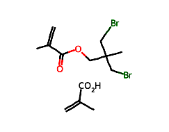 C=C(C)C(=O)O.C=C(C)C(=O)OCC(C)(CBr)CBr